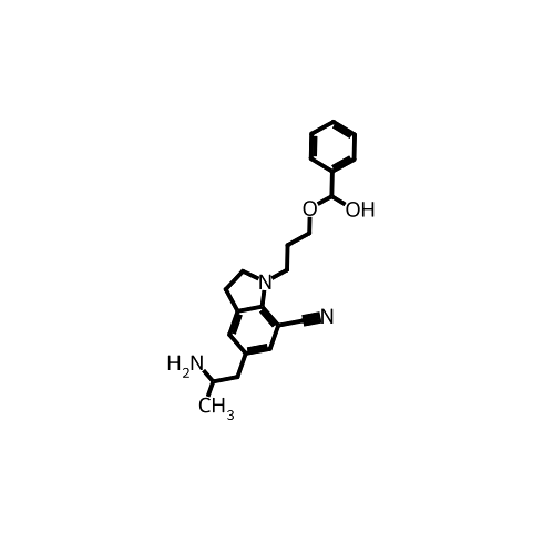 CC(N)Cc1cc(C#N)c2c(c1)CCN2CCCOC(O)c1ccccc1